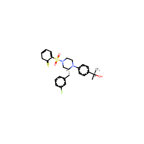 C[C@@](O)(c1ccc(N2CCN(S(=O)(=O)C3=CC=CCC3=S)C[C@H]2Cc2cccc(F)c2)cc1)C(F)(F)F